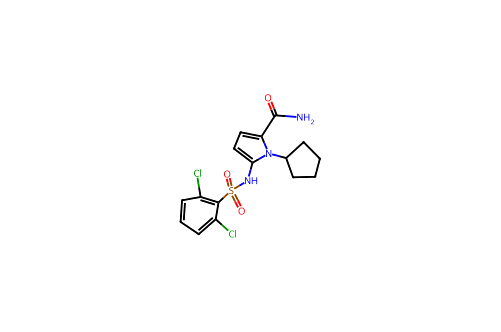 NC(=O)c1ccc(NS(=O)(=O)c2c(Cl)cccc2Cl)n1C1CCCC1